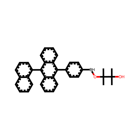 CC(C)(O)C(C)(C)OBc1ccc(-c2c3ccccc3c(-c3cccc4ccccc34)c3ccccc23)cc1